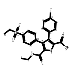 CCOC(=O)c1sc(C(=O)O)c(-c2ccc(F)cc2)c1-c1ccc(S(=O)(=O)CC)cc1